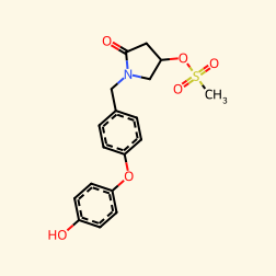 CS(=O)(=O)OC1CC(=O)N(Cc2ccc(Oc3ccc(O)cc3)cc2)C1